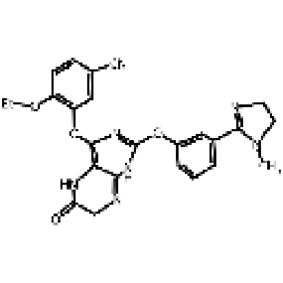 CCOc1ccc(C#N)cc1OC1=C2NC(=O)CN=C2NC(Oc2cccc(C3=NCCN3C)c2)=N1